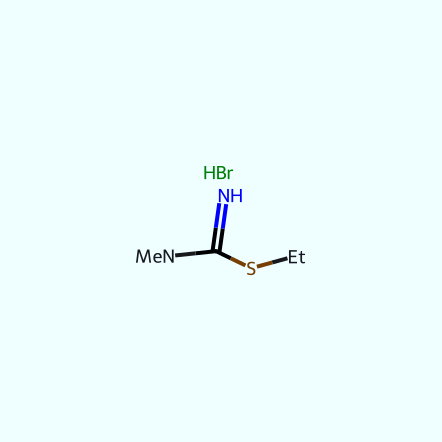 Br.CCSC(=N)NC